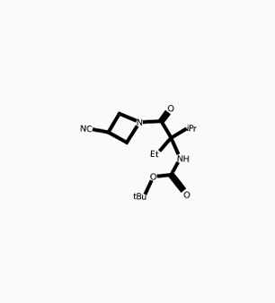 CCC(NC(=O)OC(C)(C)C)(C(=O)N1CC(C#N)C1)C(C)C